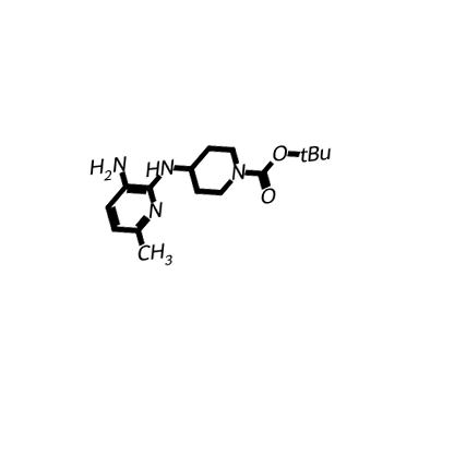 Cc1ccc(N)c(NC2CCN(C(=O)OC(C)(C)C)CC2)n1